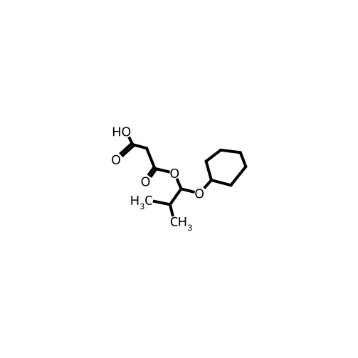 CC(C)C(OC(=O)CC(=O)O)OC1CCCCC1